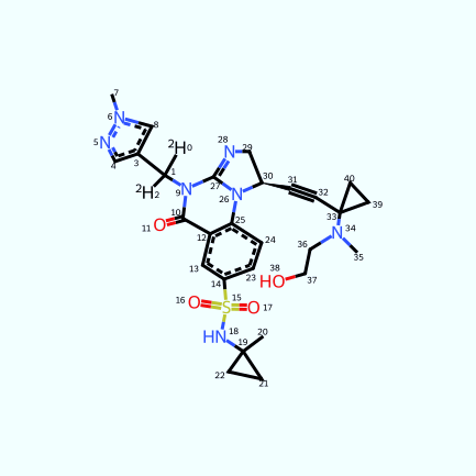 [2H]C([2H])(c1cnn(C)c1)N1C(=O)c2cc(S(=O)(=O)NC3(C)CC3)ccc2N2C1=NC[C@H]2C#CC1(N(C)CCO)CC1